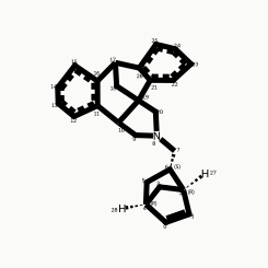 C1=C[C@H]2C[C@@H]1C[C@@H]2CN1CC2c3ccccc3C3CC2(C1)c1ccccc13